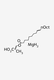 CCCCCCCC/C=C/CCCCCCCC(=O)OC=C(C)C(=O)O.[MgH2]